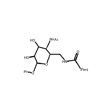 CCCC(C)C(=O)NCC1OC(OC(C)C)C(O)C(O)C1NC(C)=O